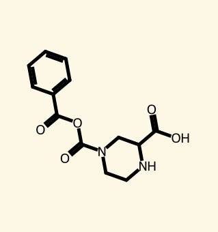 O=C(OC(=O)N1CCNC(C(=O)O)C1)c1ccccc1